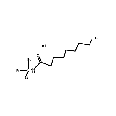 CCCCCCCCCCCCCCCCCC(=O)N[N+](CC)(CC)CC.Cl